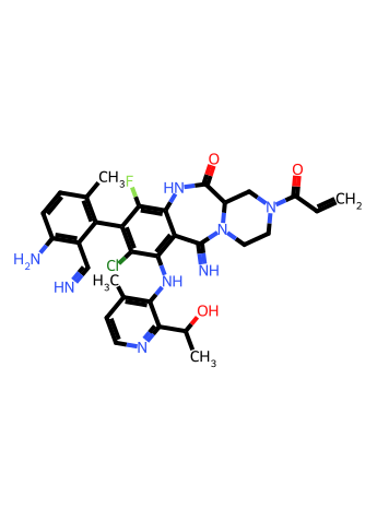 C=CC(=O)N1CCN2C(=N)c3c(c(F)c(-c4c(C)ccc(N)c4C=N)c(Cl)c3Nc3c(C)ccnc3C(C)O)NC(=O)C2C1